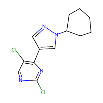 Clc1ncc(Cl)c(-c2cnn(C3CCCCC3)c2)n1